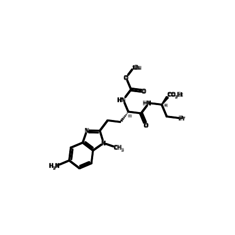 CCOC(=O)[C@@H](CC(C)C)NC(=O)[C@H](CCc1nc2cc(N)ccc2n1C)NC(=O)OC(C)(C)C